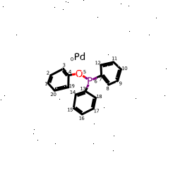 [Pd].c1ccc(OP(c2ccccc2)c2ccccc2)cc1